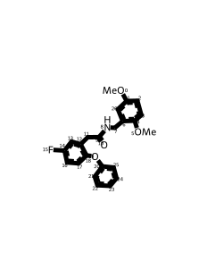 COc1ccc(OC)c(CNC(=O)Cc2cc(F)ccc2Oc2ccccc2)c1